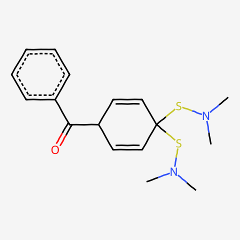 CN(C)SC1(SN(C)C)C=CC(C(=O)c2ccccc2)C=C1